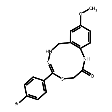 COc1ccc2c(c1)CN/N=C(/c1ccc(Br)cc1)SCC(=O)N2